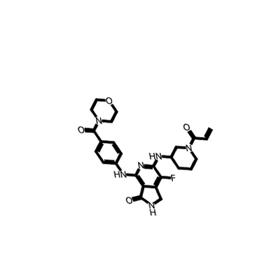 C=CC(=O)N1CCCC(Nc2nc(Nc3ccc(C(=O)N4CCOCC4)cc3)c3c(c2F)CNC3=O)C1